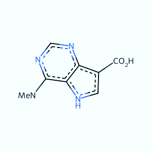 CNc1ncnc2c(C(=O)O)c[nH]c12